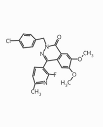 COc1cc2c(-c3ccc(C)nc3F)nn(Cc3ccc(Cl)cc3)c(=O)c2cc1OC